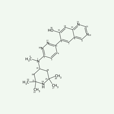 CN(c1ccc(-c2cc3cncnc3cc2O)nn1)C1CC(C)(C)NC(C)(C)C1